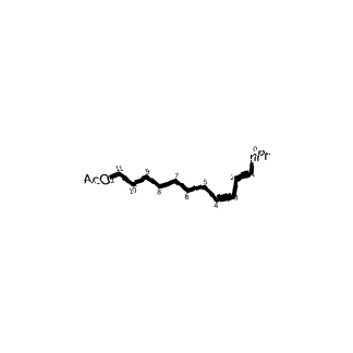 CCC/C=C/C=C\CCCCCCCOC(C)=O